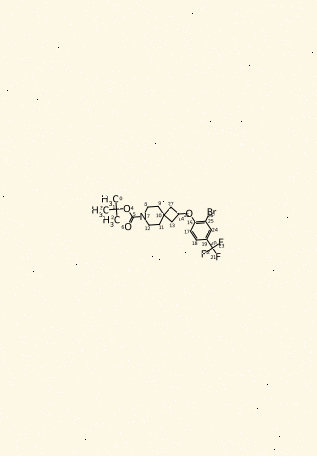 CC(C)(C)OC(=O)N1CCC2(CC1)CC(Oc1ccc(C(F)(F)F)cc1Br)C2